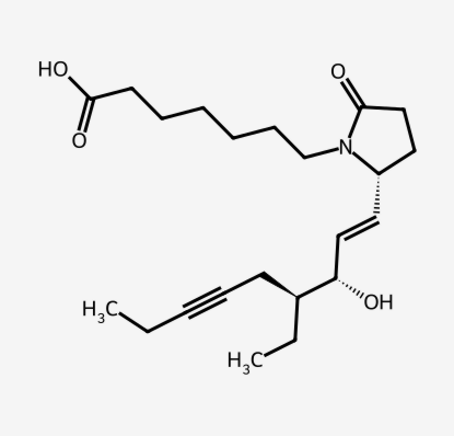 CCC#CC[C@H](CC)[C@@H](O)C=C[C@H]1CCC(=O)N1CCCCCCC(=O)O